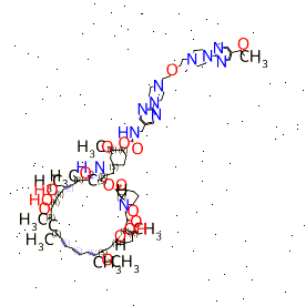 CO[C@H]1C[C@@H]2CC[C@@H](C)[C@@](O)(O2)C(=O)C(=O)N2CCCC[C@H]2C(=O)O[C@H]([C@H](N)C[C@@H]2CC[C@@H](OC(=O)NCc3cnc(N4CCN(CCOCCN5CCN(c6ncc(C(C)=O)cn6)CC5)CC4)nc3)[C@H](OC)C2)CC(=O)[C@H](C)/C=C(\C)[C@@H](O)[C@@H](O)C(=O)[C@H](C)C[C@H](C)/C=C/C=C/C=C/1C